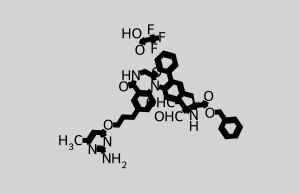 Cc1cc(OCCCc2ccc3c(c2)C(=O)NCC(=O)N3c2ccc(C[C@@]3(C(=O)OCc4ccccc4)NC3(C=O)CC=O)cc2-c2ccccc2)nc(N)n1.O=C(O)C(F)(F)F